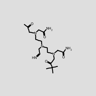 CC(=O)CN(CCN(CC=N)CCN(CC(N)=O)CC(=O)C(C)(C)C)CC(N)=O